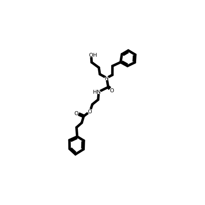 O=C(CCc1ccccc1)OCCNC(=O)N(CCCO)CCc1ccccc1